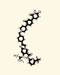 CC(C)Oc1cc2nc(C3CCC(CN4CCC(c5ccc(C6CCC(=O)NC6=O)cc5F)CC4)CC3)cn2cc1C(=O)Nc1cccc(C(F)(F)F)n1